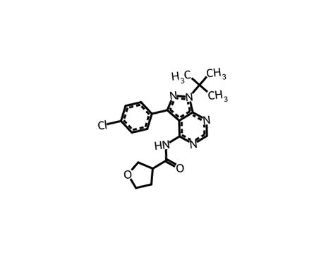 CC(C)(C)n1nc(-c2ccc(Cl)cc2)c2c(NC(=O)C3CCOC3)ncnc21